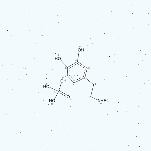 CC(=O)NCCc1ccc(O)c(O)c1.O=P(O)(O)O